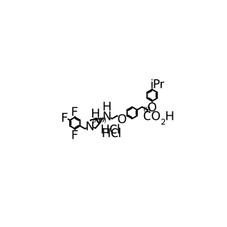 CC(C)c1ccc(O[C@@H](Cc2ccc(OCCN[C@H]3C4CN(Cc5cc(F)c(F)cc5F)C[C@@H]43)cc2)C(=O)O)cc1.Cl.Cl